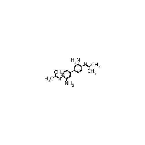 CC(C)=Nc1ccc(-c2ccc(N=C(C)C)c(N)c2)cc1N